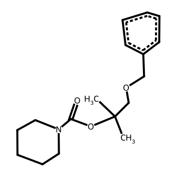 CC(C)(COCc1ccccc1)OC(=O)N1CCCCC1